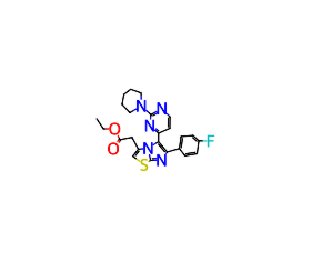 CCOC(=O)Cc1csc2nc(-c3ccc(F)cc3)c(-c3ccnc(N4CCCCC4)n3)n12